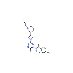 CCCCN1CCCC(C2CN(c3cnc(C)c(NC(C)c4ccc(Cl)cc4C)n3)C2)C1